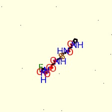 O=C(CCC(=O)NC1CCCC1)NCCSSCCNC(=O)CCC(=O)OCn1cc(F)c(=O)[nH]c1=O